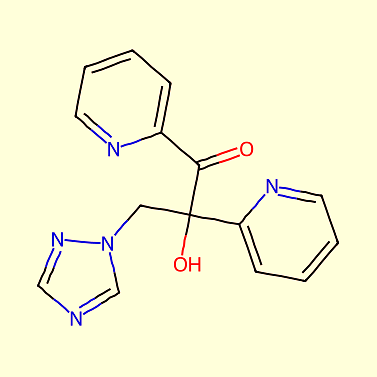 O=C(c1ccccn1)C(O)(Cn1cncn1)c1ccccn1